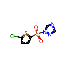 O=S(=O)(c1ccc(Cl)s1)n1cncn1